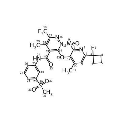 COc1nc(C2(F)CCC2)cc(C)c1Oc1nnc(C(F)(F)F)c(C)c1C(=O)Nc1cccc(S(C)(=O)=O)c1